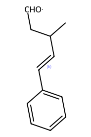 CC(/C=C/c1ccccc1)C[C]=O